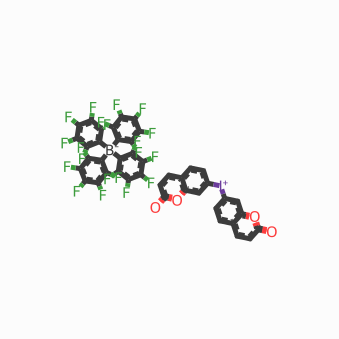 Fc1c(F)c(F)c([B-](c2c(F)c(F)c(F)c(F)c2F)(c2c(F)c(F)c(F)c(F)c2F)c2c(F)c(F)c(F)c(F)c2F)c(F)c1F.O=c1ccc2ccc([I+]c3ccc4ccc(=O)oc4c3)cc2o1